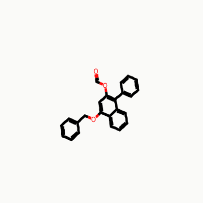 O=COc1cc(OCc2ccccc2)c2ccccc2c1-c1ccccc1